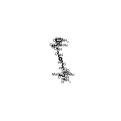 COC(=O)C1=C[C@H](NC(=N)N)[C@@H](NC(C)=O)[C@H]([C@H](OC(=O)NCCC(=O)NCc2ccc(CNC(=O)CCNC(=O)O[C@@H]([C@@H]3OC(C(=O)OC)=CC(NC(=N)N)[C@H]3NC(C)=O)[C@H]3COC(=O)O3)cc2)[C@H]2COC(=O)O2)O1